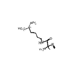 C=NC(C)(N)C(=O)NCCCC[C@H](N)C(=O)O